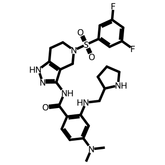 CN(C)c1ccc(C(=O)Nc2n[nH]c3c2CN(S(=O)(=O)c2cc(F)cc(F)c2)CC3)c(NCC2CCCN2)c1